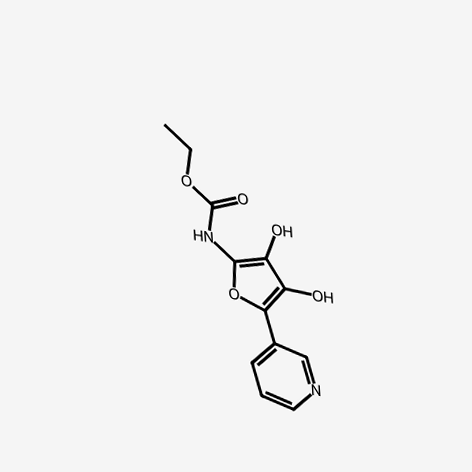 CCOC(=O)Nc1oc(-c2cccnc2)c(O)c1O